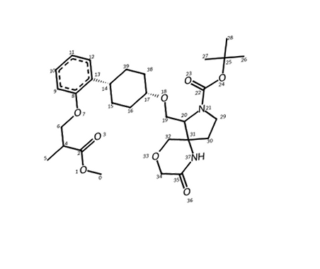 COC(=O)C(C)COc1ccccc1[C@H]1CC[C@@H](OCC2N(C(=O)OC(C)(C)C)CCC23COCC(=O)N3)CC1